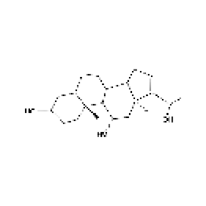 CC(O)C1=CCC2C3CCC4C[C@@H](O)CC[C@@]4(C)C3[C@@H](O)C[C@]12C